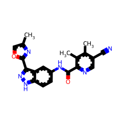 Cc1coc(-c2n[nH]c3ccc(NC(=O)c4ncc(C#N)c(C)c4C)cc23)n1